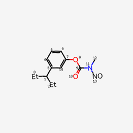 CCC(CC)c1cccc(OC(=O)N(C)N=O)c1